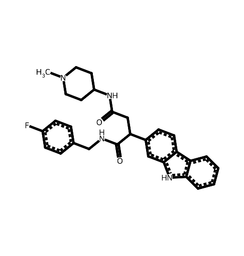 CN1CCC(NC(=O)CC(C(=O)NCc2ccc(F)cc2)c2ccc3c(c2)[nH]c2ccccc23)CC1